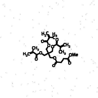 C=C(C)C(=O)OCC(COC(=O)CCC(=O)OC)(COC(=O)C(=C)C)COC(=O)C(=C)C